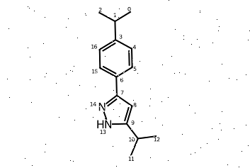 CC(C)c1ccc(-c2cc(C(C)C)[nH]n2)cc1